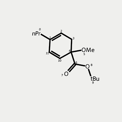 CCCC1=CCC(OC)(C(=O)OC(C)(C)C)C=C1